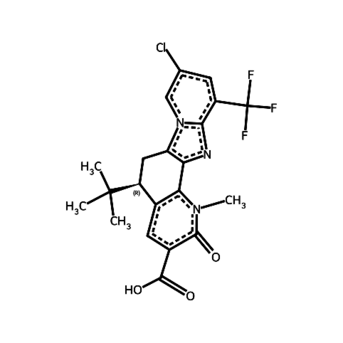 Cn1c2c(cc(C(=O)O)c1=O)[C@@H](C(C)(C)C)Cc1c-2nc2c(C(F)(F)F)cc(Cl)cn12